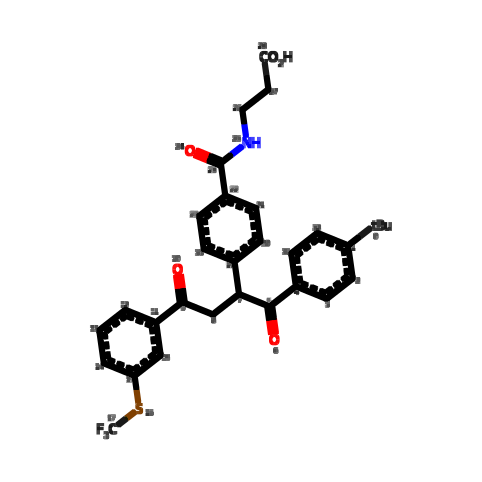 CC(C)(C)c1ccc(C(=O)C(CC(=O)c2cccc(SC(F)(F)F)c2)c2ccc(C(=O)NCCC(=O)O)cc2)cc1